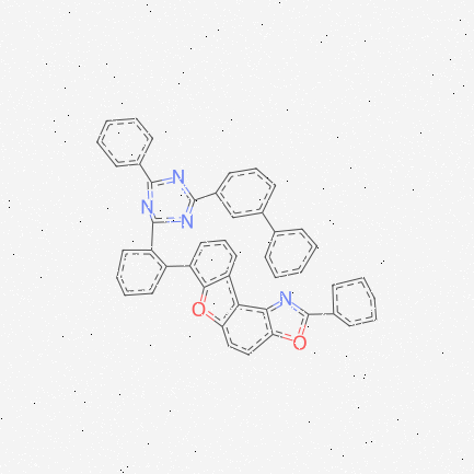 c1ccc(-c2cccc(-c3nc(-c4ccccc4)nc(-c4ccccc4-c4cccc5c4oc4ccc6oc(-c7ccccc7)nc6c45)n3)c2)cc1